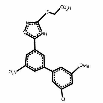 COc1cc(Cl)cc(-c2cc(-c3nnc(SCC(=O)O)[nH]3)cc([N+](=O)[O-])c2)c1